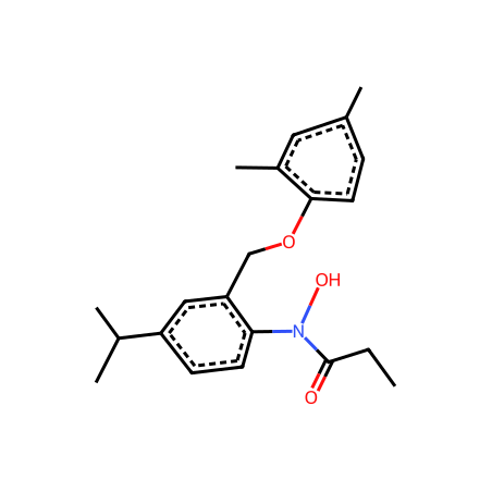 CCC(=O)N(O)c1ccc(C(C)C)cc1COc1ccc(C)cc1C